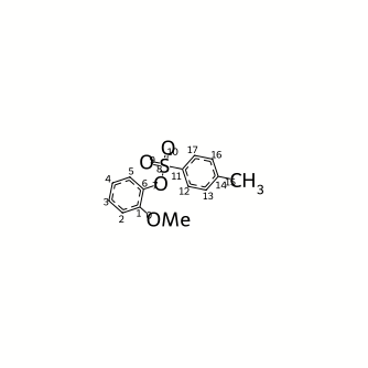 COc1ccccc1OS(=O)(=O)c1ccc(C)cc1